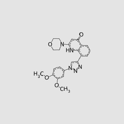 COc1ccc(-n2cc(-c3cccc4c(=O)cc(N5CCOCC5)[nH]c34)nn2)cc1OC